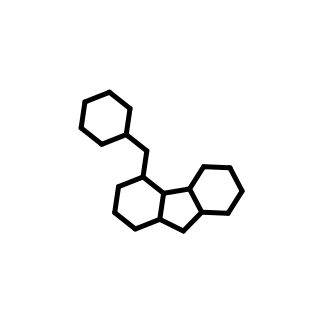 C1CCC(CC2CCCC3CC4CCCCC4C23)CC1